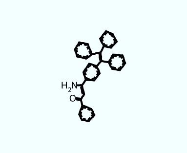 N/C(=C\C(=O)c1ccccc1)c1ccc(C(=C(c2ccccc2)c2ccccc2)c2ccccc2)cc1